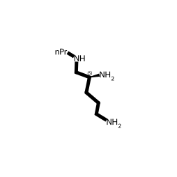 CCCNC[C@@H](N)CCCN